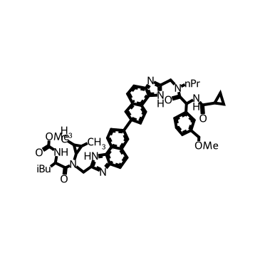 CCCN(Cc1nc2ccc3cc(-c4ccc5c(ccc6nc(CN(C(=O)C(NC(=O)OC)C(C)CC)C7C(C)C7C)[nH]c65)c4)ccc3c2[nH]1)C(=O)C(NC(=O)C1CC1)c1cccc(COC)c1